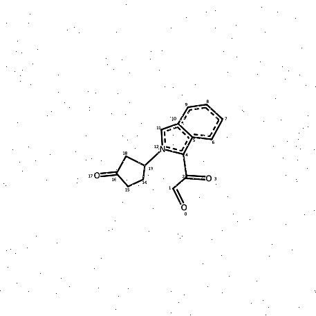 O=CC(=O)c1c2ccccc2cn1C1CCC(=O)C1